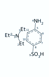 CCN(CC)CC.Nc1ccc(S(=O)(=O)O)cc1